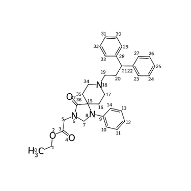 CCOC(=O)CN1CN(c2ccccc2)C2(CCN(CCC(c3ccccc3)c3ccccc3)CC2)C1=O